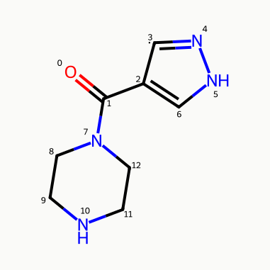 O=C(c1[c]n[nH]c1)N1CCNCC1